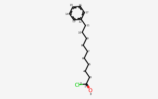 O=C(Cl)CCCCCCCCCc1ccccc1